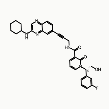 O=C(NCC#Cc1ccc2ncc(NC3CCCCC3)nc2c1)c1cccn([C@H](CO)c2cccc(F)c2)c1=O